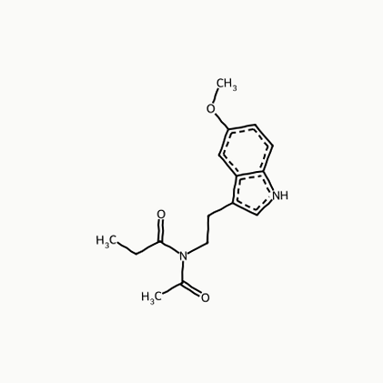 CCC(=O)N(CCc1c[nH]c2ccc(OC)cc12)C(C)=O